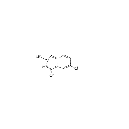 [O-][N+]1=c2cc(Cl)ccc2=CN(Br)N1